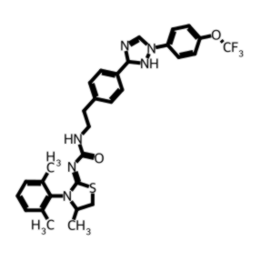 Cc1cccc(C)c1N1/C(=N/C(=O)NCCc2ccc(C3N=CN(c4ccc(OC(F)(F)F)cc4)N3)cc2)SCC1C